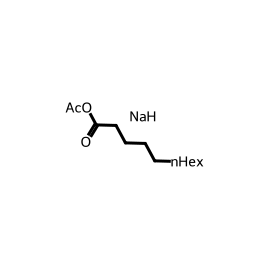 CCCCCCCCCCC(=O)OC(C)=O.[NaH]